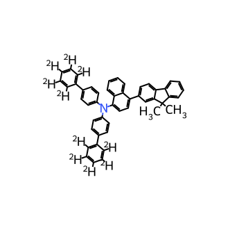 [2H]c1c([2H])c([2H])c(-c2ccc(N(c3ccc(-c4c([2H])c([2H])c([2H])c([2H])c4[2H])cc3)c3ccc(-c4ccc5c(c4)C(C)(C)c4ccccc4-5)c4ccccc34)cc2)c([2H])c1[2H]